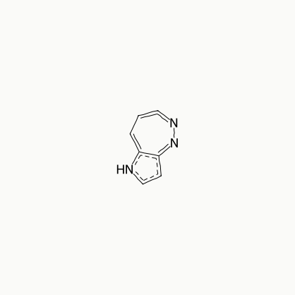 C1=CC=c2[nH]ccc2=NN=1